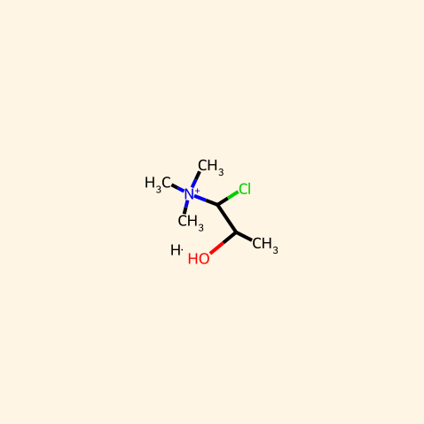 CC(O)C(Cl)[N+](C)(C)C.[H]